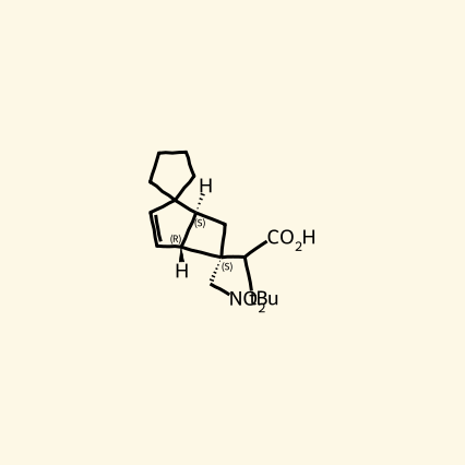 CC(C)(C)C(C(=O)O)[C@]1(C[N+](=O)[O-])C[C@H]2[C@H]1C=CC21CCCC1